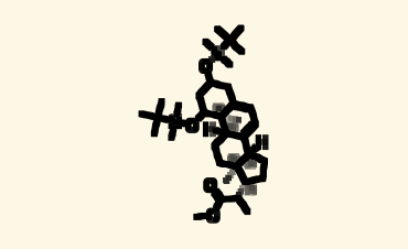 COC(=O)C(C)[C@H]1CC[C@H]2C3=CC=C4CC(O[Si](C)(C)C(C)(C)C)CC(O[Si](C)(C)C(C)(C)C)[C@]4(C)[C@H]3CC[C@]12C